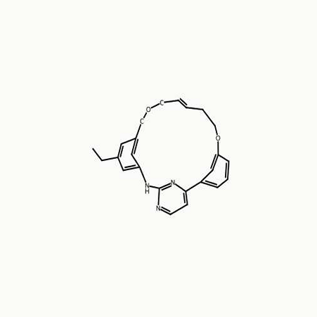 CCc1cc2cc(c1)Nc1nccc(n1)-c1cccc(c1)OCC/C=C/COC2